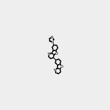 c1cnc2c(c1)oc1ccc(-c3ccnc4c3oc3ccc(-n5ccnc5)cc34)cc12